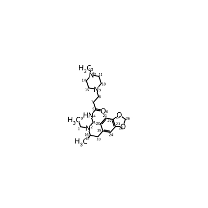 CCN(CNC(=O)CCN1CCN(C)CC1)C(C)Cc1ccc2c(c1)OCO2